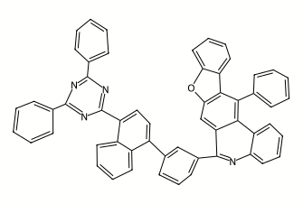 c1ccc(-c2nc(-c3ccccc3)nc(-c3ccc(-c4cccc(-c5nc6ccccc6c6c(-c7ccccc7)c7c(cc56)oc5ccccc57)c4)c4ccccc34)n2)cc1